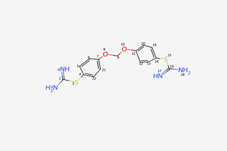 N=C(N)Sc1ccc(OCOc2ccc(SC(=N)N)cc2)cc1